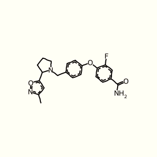 Cc1cc(C2CCCN2Cc2ccc(Oc3ccc(C(N)=O)cc3F)cc2)on1